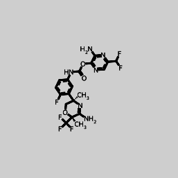 C[C@@]1(c2cc(NC(=O)Oc3ncc(C(F)F)nc3N)ccc2F)CO[C@@](C)(C(F)(F)F)C(N)=N1